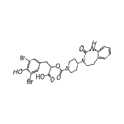 O=C(O)C(Cc1cc(Br)c(O)c(Br)c1)OC(=O)N1CCC(N2CCc3ccccc3NC2=O)CC1